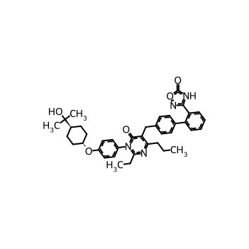 CCCc1nc(CC)n(-c2ccc(O[C@H]3CC[C@H](C(C)(C)O)CC3)cc2)c(=O)c1Cc1ccc(-c2ccccc2-c2noc(=O)[nH]2)cc1